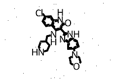 O=c1[nH]c2cc(Cl)ccc2c(NCC2CCNCC2)c1-c1nc2cc(N3CCOCC3)ccc2[nH]1